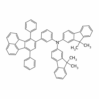 CC1(C)c2ccccc2-c2ccc(N(c3cccc(-c4cc(-c5ccccc5)c5c(c4-c4ccccc4)-c4cccc6cccc-5c46)c3)c3ccc4c(c3)C(C)(C)c3ccccc3-4)cc21